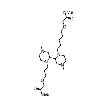 CNC(=O)COCCCCCN1CCN(C)CC1C1CN(C)CCN1CCCOCC(=O)NC